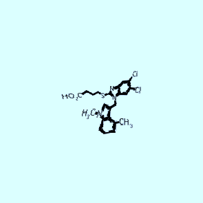 Cc1cccc2c1c(Cn1c(SCCCC(=O)O)nc3cc(Cl)c(Cl)cc31)cn2C